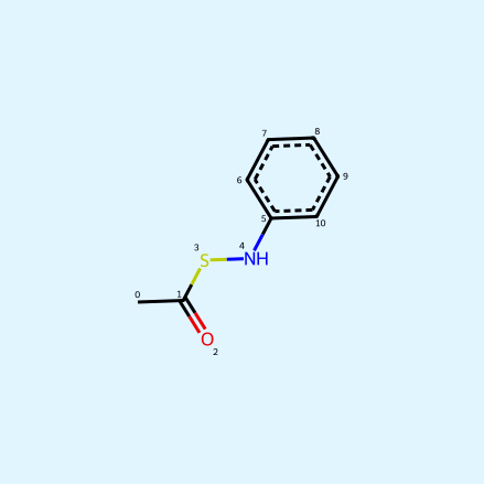 CC(=O)SNc1ccccc1